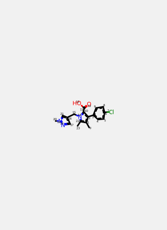 Cc1c(-c2ccc(Cl)cc2)c(C(=O)O)n(Cc2cnn(C)c2)c1C